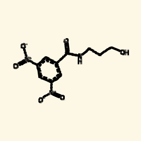 O=C(NCCCO)c1cc([N+](=O)[O-])cc([N+](=O)[O-])c1